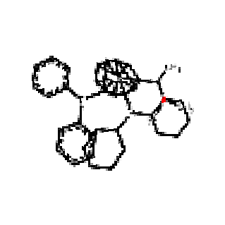 CC(N(C)C)[C]12[CH]3[CH]4[C]5(P(c6ccccc6)c6ccccc6)[C]1(P(C1CCCCC1)C1CCCCC1)[Fe]34251678[CH]2[CH]1[CH]6[CH]7[CH]28